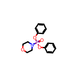 O=P(Oc1ccccc1)(Oc1ccccc1)N1CCOCC1